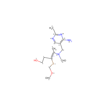 C/C(=C(\CCO)SCOC=O)N(C=O)Cc1cnc(C)nc1N